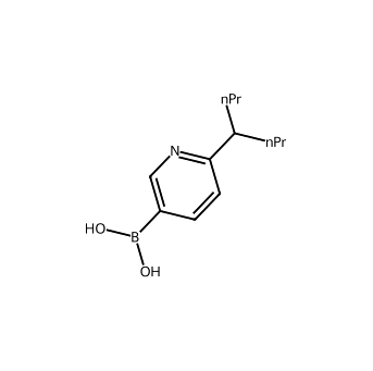 CCCC(CCC)c1ccc(B(O)O)cn1